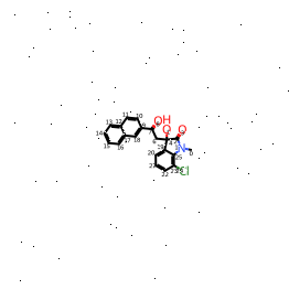 CN1C(=O)C(O)(CC(=O)c2ccc3ccccc3c2)c2cccc(Cl)c21